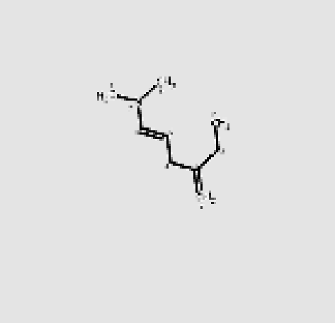 C=C(CC)CC=CN(C)C